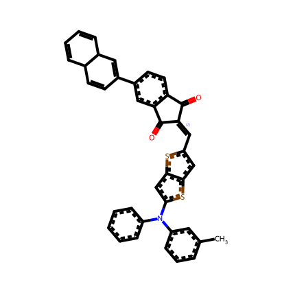 Cc1cccc(N(c2ccccc2)c2cc3sc(/C=C4/C(=O)c5ccc(C6=CC7C=CC=CC7C=C6)cc5C4=O)cc3s2)c1